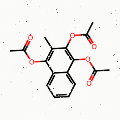 CC(=O)Oc1c(C)c(OC(C)=O)c2ccccc2c1OC(C)=O